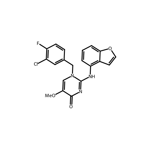 COc1cn(Cc2ccc(F)c(Cl)c2)c(Nc2cccc3occc23)nc1=O